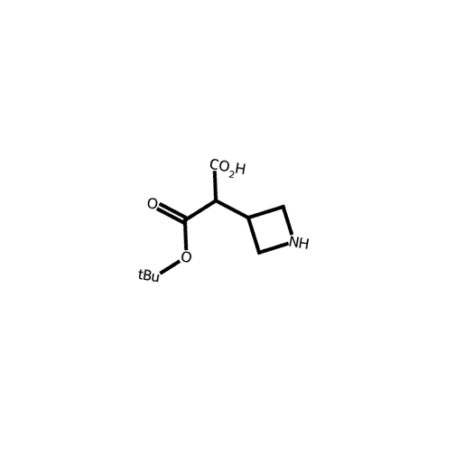 CC(C)(C)OC(=O)C(C(=O)O)C1CNC1